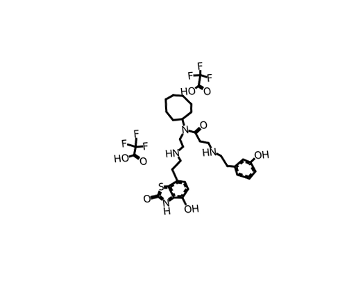 O=C(CCNCCc1cccc(O)c1)N(CCNCCc1ccc(O)c2[nH]c(=O)sc12)C1CCCCCCC1.O=C(O)C(F)(F)F.O=C(O)C(F)(F)F